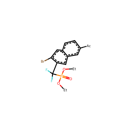 CCOP(=O)(OCC)C(F)(F)c1cc2cc(C(C)=O)ccc2cc1Br